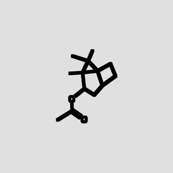 CC(=O)OC1CC2CCC23C(C)(C)C13C